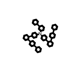 c1ccc(-c2ccc(-c3ccccc3-c3ccc(N(c4ccc(-c5ccccc5-c5ccc(-c6ccccc6)cc5)cc4)c4cccc(-c5ccccc5)c4)cc3)cc2)cc1